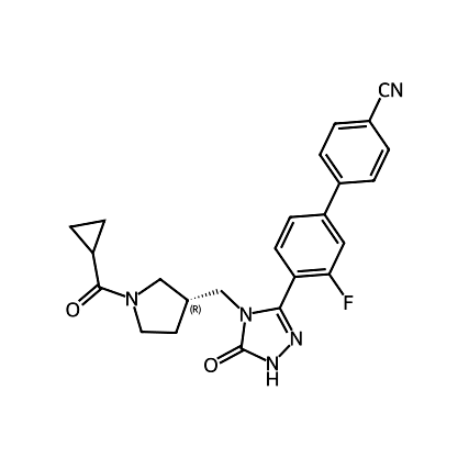 N#Cc1ccc(-c2ccc(-c3n[nH]c(=O)n3C[C@@H]3CCN(C(=O)C4CC4)C3)c(F)c2)cc1